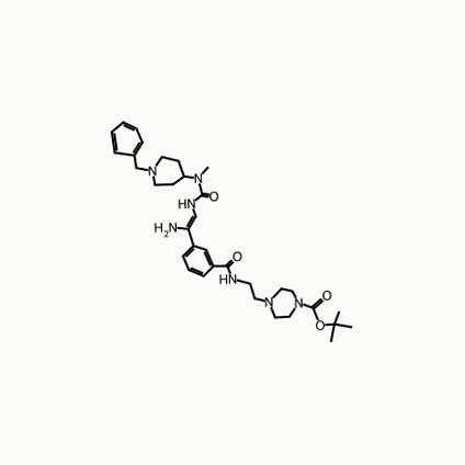 CN(C(=O)N/C=C(\N)c1cccc(C(=O)NCCN2CCN(C(=O)OC(C)(C)C)CC2)c1)C1CCN(Cc2ccccc2)CC1